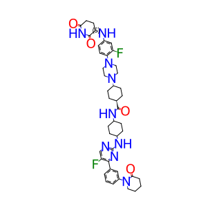 O=C1CC[C@H](Nc2ccc(N3CCN([C@H]4CC[C@H](C(=O)NC5CCC(Nc6ncc(F)c(-c7cccc(N8CCCCC8=O)c7)n6)CC5)CC4)CC3)c(F)c2)C(=O)N1